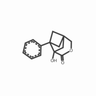 O=C1OCC23CC1(O)C(c1ccccc1)(C2)C3